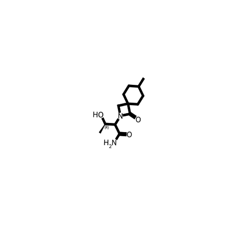 CC1CCC2(CC1)CN(C(C(N)=O)[C@@H](C)O)C2=O